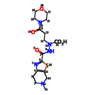 CN1CCc2nc(C(=O)NN(CCC(=O)N3CCOCC3)C(=O)O)sc2C1